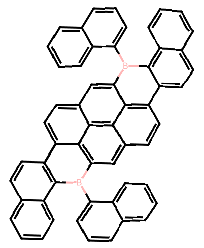 c1ccc2c(B3c4c(ccc5ccccc45)-c4ccc5cc6c7c(ccc8cc3c4c5c87)-c3ccc4ccccc4c3B6c3cccc4ccccc34)cccc2c1